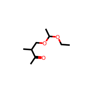 CCOC(C)OCC(C)C(C)=O